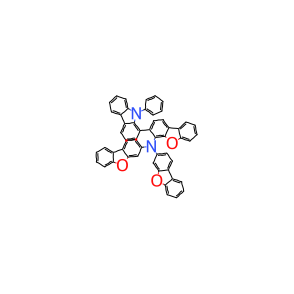 c1ccc(-n2c3ccccc3c3cccc(-c4ccc5c(oc6ccccc65)c4N(c4ccc5c(c4)oc4ccccc45)c4ccc5c(c4)oc4ccccc45)c32)cc1